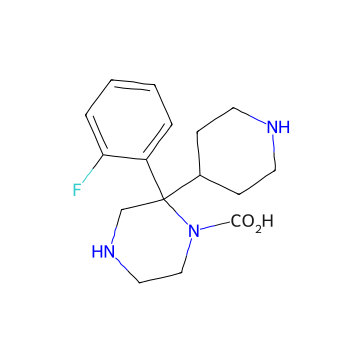 O=C(O)N1CCNCC1(c1ccccc1F)C1CCNCC1